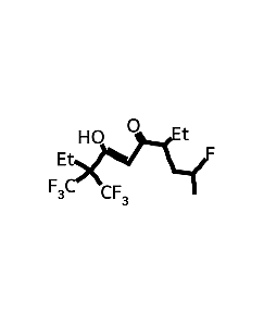 CCC(CC(C)F)C(=O)/C=C(\O)C(CC)(C(F)(F)F)C(F)(F)F